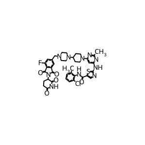 Cc1nc(Nc2ncc(C(=O)Nc3c(C)cccc3Cl)s2)cc(N2CCC(N3CCN(Cc4cc(F)c5c(c4)C(=O)N(C4CCC(=O)NC4=O)C5=O)CC3)CC2)n1